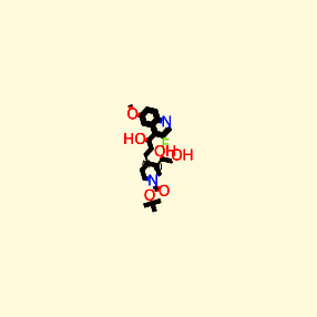 COc1ccc2ncc(F)c(C(O)CC[C@@H]3CCN(C(=O)OC(C)(C)C)C[C@@H]3C(O)CO)c2c1